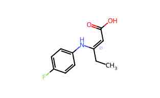 CC/C(=C/C(=O)O)Nc1ccc(F)cc1